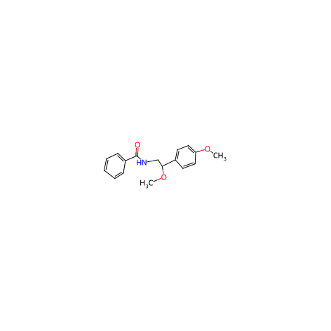 COc1ccc(C(CNC(=O)c2ccccc2)OC)cc1